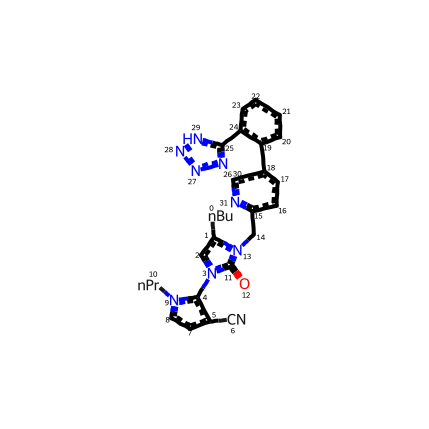 CCCCc1cn(-c2c(C#N)ccn2CCC)c(=O)n1Cc1ccc(-c2ccccc2-c2nnn[nH]2)cn1